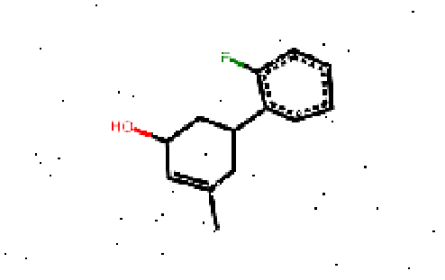 CC1=CC(O)CC(c2ccccc2F)C1